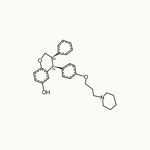 Oc1ccc2c(c1)[C@H](c1ccc(OCCCN3CCCCC3)cc1)[C@H](c1ccccc1)CO2